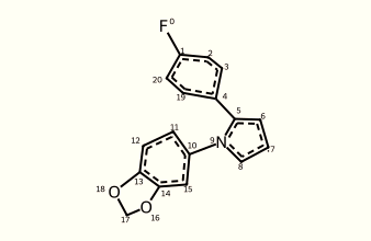 Fc1ccc(-c2c[c]cn2-c2ccc3c(c2)OCO3)cc1